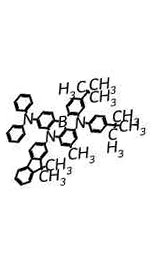 Cc1cc2c3c(c1)N(c1ccc(C(C)(C)C)cc1)c1cc(C(C)(C)C)ccc1B3c1ccc(N(c3ccccc3)c3ccccc3)cc1N2c1ccc2c(c1)C(C)(C)c1ccccc1-2